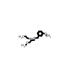 CCCNC(/C=N/Cc1cccc(OC)c1)COC